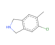 Cc1cc2c(cc1Cl)CNC2